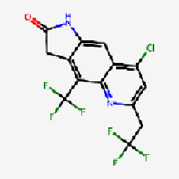 O=C1Cc2c(cc3c(Cl)cc(CC(F)(F)F)nc3c2C(F)(F)F)N1